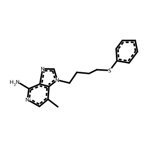 Cc1cnc(N)c2ncn(CCCCSc3ccccc3)c12